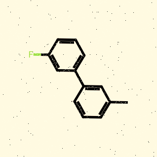 Cc1cc[c]c(-c2cccc(F)c2)c1